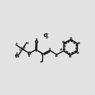 CC[N+](C)(C)OC(=O)/C(C)=C/Cc1ccccc1.[Cl-]